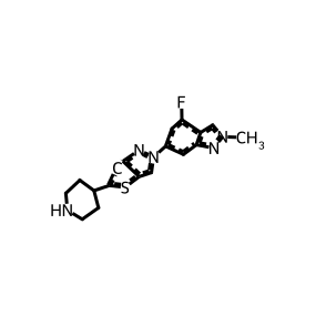 Cn1cc2c(F)cc(-n3cc4sc(C5CCNCC5)cc4n3)cc2n1